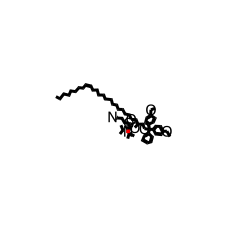 CCCCCCCC/C=C\CCCCCCCCCCCCOCC(COC(c1ccccc1)(c1ccc(OC)cc1)c1ccc(OC)cc1)OP(OCCC#N)N(C(C)C)C(C)C